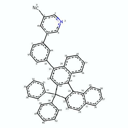 N#Cc1cncc(-c2cccc(-c3cc4c(c5ccccc35)-c3c(ccc5ccccc35)C4(c3ccccc3)c3ccccc3)c2)c1